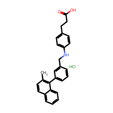 Cc1ccc2ccccc2c1-c1cccc(CNc2ccc(CCC(=O)O)cc2)c1.Cl